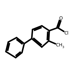 Cc1cc(-c2ccccc2)ccc1C(=O)Cl